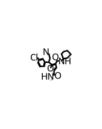 CNC(=O)c1cc(C(=O)NC2CCCCC2)c(C(CC#N)c2cccc(Cl)c2)o1